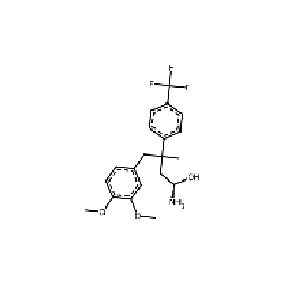 COc1ccc(CC(C)(C[C@H](N)O)c2ccc(C(F)(F)F)cc2)cc1OC